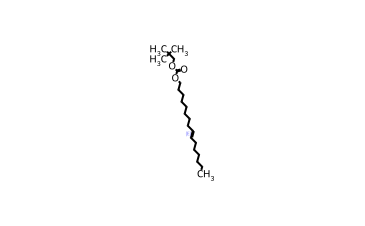 CCCCCC/C=C/CCCCCCCCOC(=O)OCC(C)(C)C